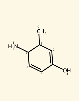 CC1C=C(O)C=CC1N